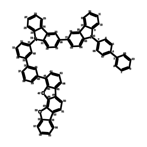 c1ccc(-c2ccc(-n3c4ccccc4c4cc(-c5ccc6c(c5)c5ccccc5n6-c5cccc(-c6cccc(-c7cccc8c7oc7c8ccc8c9ccccc9oc87)c6)c5)ccc43)cc2)cc1